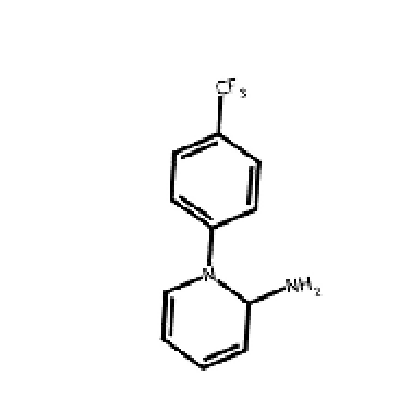 NC1C=CC=CN1c1ccc(C(F)(F)F)cc1